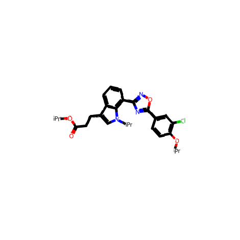 CC(C)OC(=O)CCc1cn(C(C)C)c2c(-c3noc(-c4ccc(OC(C)C)c(Cl)c4)n3)cccc12